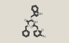 CC(=O)c1cccn(CC(=O)N[C@@H](Cc2c[nH]c3ccccc23)C(=O)OCc2ccccc2)c1=O